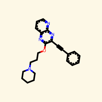 C(#Cc1nc2ncccc2nc1OCCCN1CCCCC1)c1ccccc1